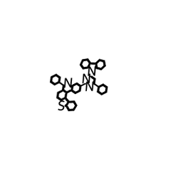 c1ccc(-c2cc(-n3c4ccccc4c4ccccc43)nc(-c3ccc4c(c3)nc(-c3ccccc3)c3ccc5sc6ccccc6c5c34)n2)cc1